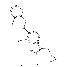 Fc1ccccc1COc1ccn2c(CC3CC3)nnc2c1Cl